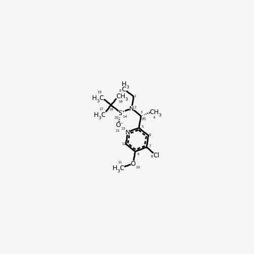 CCN([C@H](C)c1cc(Cl)c(OC)cn1)[S@+]([O-])C(C)(C)C